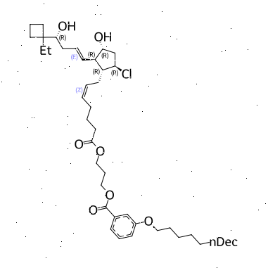 CCCCCCCCCCCCCCCOc1cccc(C(=O)OCCCOC(=O)CCC/C=C\C[C@@H]2[C@@H](/C=C/C[C@@H](O)C3(CC)CCC3)[C@H](O)C[C@H]2Cl)c1